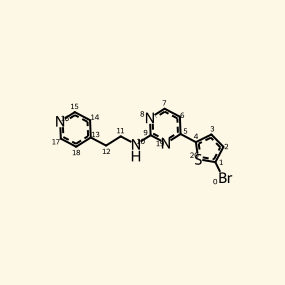 Brc1ccc(-c2ccnc(NCCc3ccncc3)n2)s1